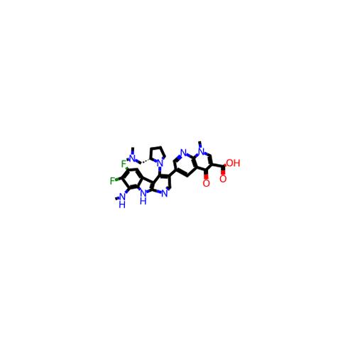 CNc1c(F)c(F)cc2c1[nH]c1ncc(-c3cnc4c(c3)c(=O)c(C(=O)O)cn4C)c(N3CCC[C@H]3CN(C)C)c12